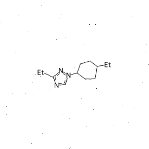 CCc1ncn(C2CCC(CC)CC2)n1